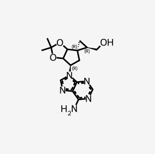 CC1(C)OC2C(O1)[C@]1(C[C@H]1CO)C[C@H]2n1cnc2c(N)ncnc21